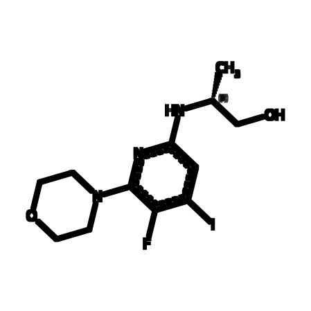 C[C@H](CO)Nc1cc(I)c(F)c(N2CCOCC2)n1